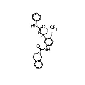 C[C@@]1(c2cc(NC(=O)N3CCc4ccccc4C3)ccc2F)C[C@@H](C(F)(F)F)OC(Nc2ccccc2)=N1